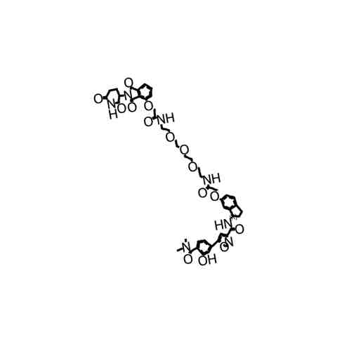 CN(C)C(=O)c1ccc(-c2cc(C(=O)N[C@@H]3CCc4ccc(OCC(=O)NCCOCCOCCOCCNC(=O)COc5cccc6c5C(=O)N(C5CCC(=O)NC5=O)C6=O)cc43)no2)cc1O